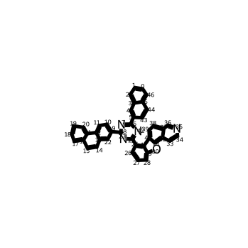 c1ccc2cc(-c3nc(-c4ccc5c(ccc6ccccc65)c4)nc(-c4cccc5oc6c7ccncc7ccc6c45)n3)ccc2c1